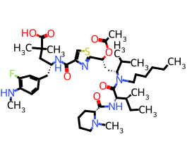 CCCCCCN(C(=O)[C@@H](NC(=O)[C@H]1CCCCN1C)[C@@H](C)CC)[C@H](C[C@@H](OC(C)=O)c1nc(C(=O)N[C@H](Cc2ccc(NC)c(F)c2)CC(C)(C)C(=O)O)cs1)C(C)C